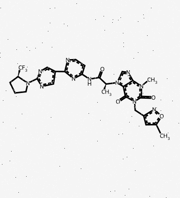 Cc1cc(Cn2c(=O)c3c(ncn3[C@@H](C)C(=O)Nc3ccnc(-c4cnc(N5CCC[C@H]5C(F)(F)F)nc4)n3)n(C)c2=O)no1